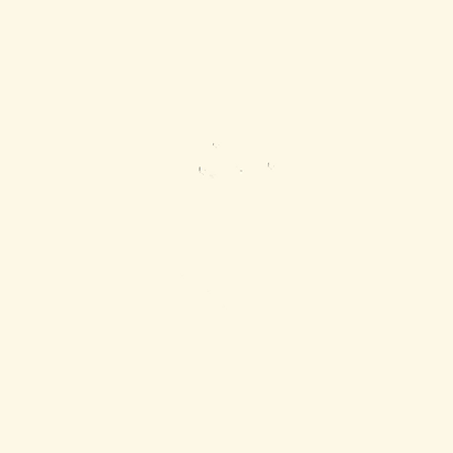 C=C(C)COCCC[Si](OC)(OC)OC